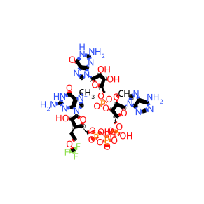 CO[C@@H]1[C@H](OP(=O)([O-])OC[C@H]2O[C@@H](n3cnc4c(=O)[nH]c(N)nc43)[C@H](O)[C@@H]2O)[C@@H](COP(=O)(O)OP(=O)(O)OP(=O)(O)OC[C@H]2O[C@@H](n3c[n+](C)c4c(=O)[nH]c(N)nc43)[C@H](O)[C@@H]2CCOC(F)(F)F)O[C@H]1n1cnc2c(N)ncnc21